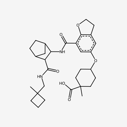 CC1(CNC(=O)C2C3CCC(C3)C2NC(=O)c2cc(OC3CCC(C)(C(=O)O)CC3)cc3c2OCC3)CCC1